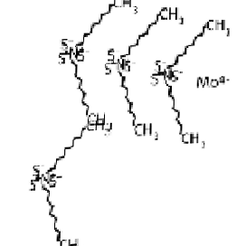 CCCCCCCCCC[N+]([S-])(CCCCCCCCCC)C(=S)[S-].CCCCCCCCCC[N+]([S-])(CCCCCCCCCC)C(=S)[S-].CCCCCCCCCC[N+]([S-])(CCCCCCCCCC)C(=S)[S-].CCCCCCCCCC[N+]([S-])(CCCCCCCCCC)C(=S)[S-].[Mo+4]